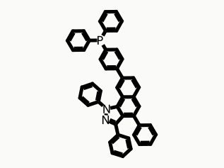 c1ccc(-c2cc3ccc(-c4ccc(P(c5ccccc5)c5ccccc5)cc4)cc3c3c2c(-c2ccccc2)nn3-c2ccccc2)cc1